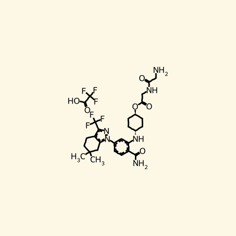 CC1(C)CCc2c(C(F)(F)F)nn(-c3ccc(C(N)=O)c(N[C@H]4CC[C@H](OC(=O)CNC(=O)CN)CC4)c3)c2C1.O=C(O)C(F)(F)F